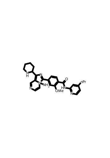 CCCc1ccnc(NC(=O)c2ccc(C3=NC(C4CCCCN4)=C4C=NC=C[N+]34N)cc2OC)c1